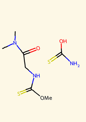 COC(=S)NCC(=O)N(C)C.NC(O)=S